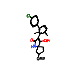 COC1CCC2(C1)NC(=O)C(c1c(C)ccc(-c3ccc(Cl)cc3)c1C)=C2O